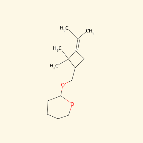 CC(C)=C1CC(COC2CCCCO2)C1(C)C